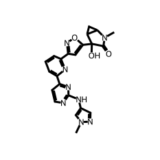 CN1C(=O)C(O)(c2cc(-c3cccc(-c4ccnc(Nc5cnn(C)c5)n4)n3)no2)C2CC21